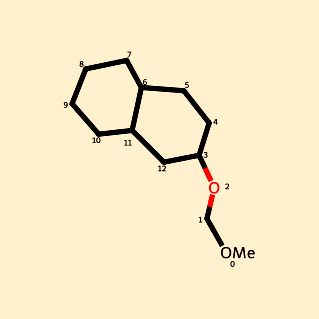 COCOC1CCC2CCCCC2C1